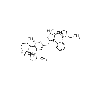 CC[C@@H]1CC[C@@H](CC)P1c1ccccc1P1[C@H](Cc2ccc(P3[C@@H](C)CCC[C@@H]3C)c(P3[C@H](C)CC[C@H]3C)c2)CC[C@H]1C